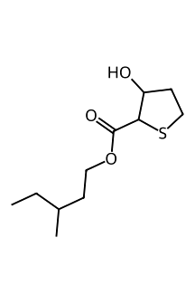 CCC(C)CCOC(=O)C1SCCC1O